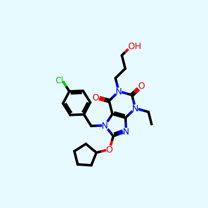 CCn1c(=O)n(CCCO)c(=O)c2c1nc(OC1CCCC1)n2Cc1ccc(Cl)cc1